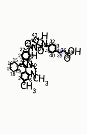 Cc1ccc2c(c1)N(C)CCn1c-2c(C2CCCCC2)c2ccc(C(=O)NC3(C(=O)Nc4ccc(/C=C/C(=O)O)cc4)CCC3)cc21